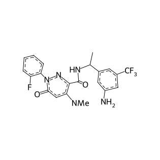 CNc1cc(=O)n(-c2ccccc2F)nc1C(=O)NC(C)c1cc(N)cc(C(F)(F)F)c1